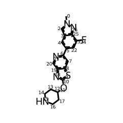 Cn1cc2cc(-c3cc4sc(OC5CCNCC5)nc4cn3)cc(F)c2n1